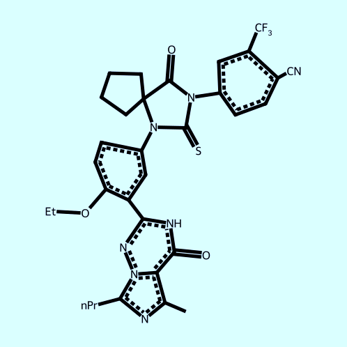 CCCc1nc(C)c2c(=O)[nH]c(-c3cc(N4C(=S)N(c5ccc(C#N)c(C(F)(F)F)c5)C(=O)C45CCCC5)ccc3OCC)nn12